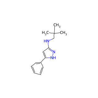 CC(C)(C)CNc1cc(-c2ccccc2)[nH]n1